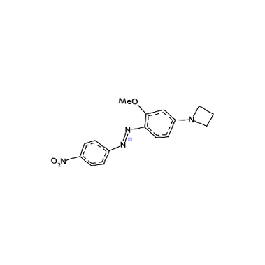 COc1cc(N2CCC2)ccc1/N=N/c1ccc([N+](=O)[O-])cc1